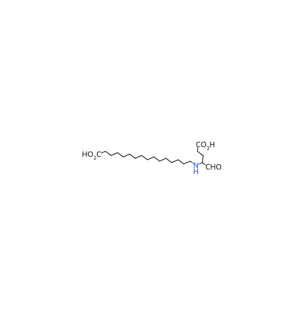 O=CC(CCC(=O)O)NCCCCCCCCCCCCCCCC(=O)O